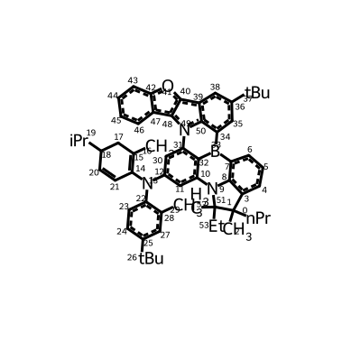 CCCC1(C)c2cccc3c2N(c2cc(N(C4=C(C)CC(C(C)C)C=C4)c4ccc(C(C)(C)C)cc4C)cc4c2B3c2cc(C(C)(C)C)cc3c5oc6ccccc6c5n-4c23)C1(C)CC